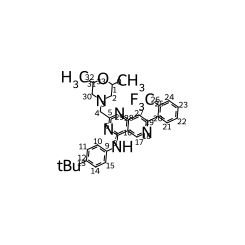 CC1CN(Cc2nc(Nc3ccc(C(C)(C)C)cc3)c3cnc(-c4ccccc4C(F)(F)F)cc3n2)CC(C)O1